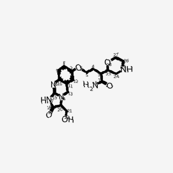 NC(=O)C(CCOc1ccc2c(c1)CN1C(=N2)NC(=O)C1CO)C1CNCCO1